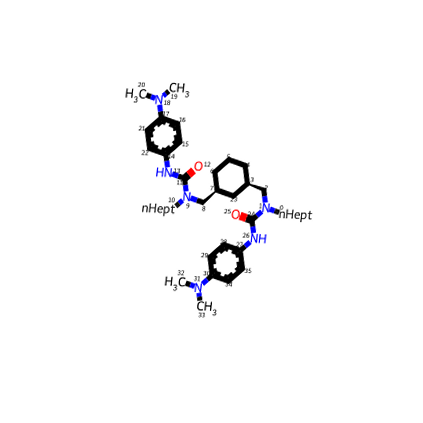 CCCCCCCN(C[C@@H]1CCC[C@H](CN(CCCCCCC)C(=O)Nc2ccc(N(C)C)cc2)C1)C(=O)Nc1ccc(N(C)C)cc1